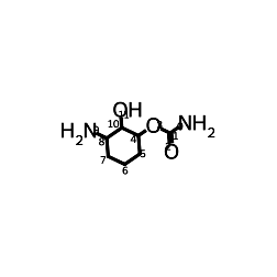 NC(=O)OC1CCCC(N)C1O